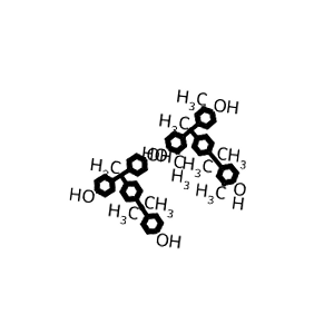 CC(C)(c1ccc(O)cc1)c1ccc(C(C)(c2ccc(O)cc2)c2ccc(O)cc2)cc1.Cc1cc(C(C)(C)c2ccc(C(C)(c3ccc(O)c(C)c3)c3ccc(O)c(C)c3)cc2)ccc1O